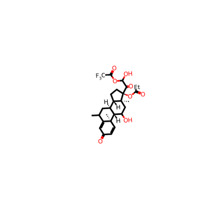 CCC(=O)O[C@]1(C(=O)C(O)OC(=O)C(F)(F)F)CC[C@H]2[C@@H]3CC(C)C4=CC(=O)C=C[C@]4(C)[C@H]3C(O)C[C@@]21C